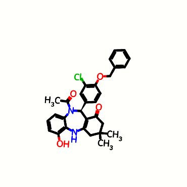 CC(=O)N1c2cccc(O)c2NC2=C(C(=O)CC(C)(C)C2)[C@@H]1c1ccc(OCc2ccccc2)c(Cl)c1